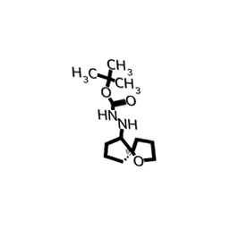 CC(C)(C)OC(=O)NNC1CCC[C@@]12CCCO2